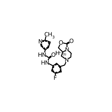 Cc1ccc(NC(=O)Nc2cc(F)cc(CN3CCN4C(=O)OC[C@@H]4C3)c2)cn1